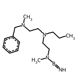 CCCN(CCN(C)B=N)CCN(C)Cc1ccccc1